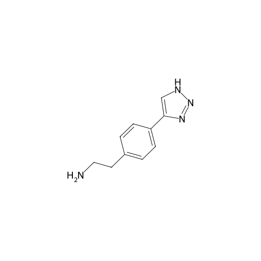 NCCc1ccc(-c2c[nH]nn2)cc1